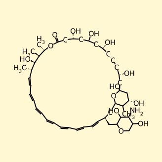 CC1C2C[C@@H](CC3OCC(O)C(N)C3O)/C=C/C=C/C=C/C=C/C=C/C=C/C=C/[C@H](C)[C@@H](O)[C@@H](C)[C@H](C)OC(=O)C[C@H](O)CC(O)C[C@H](O)CCC[C@H](O)C[C@](O)(C[C@@H]1O)O2